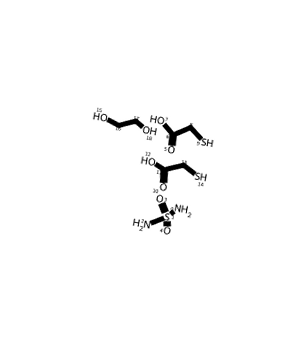 NS(N)(=O)=O.O=C(O)CS.O=C(O)CS.OCCO